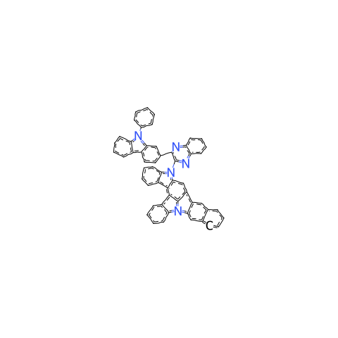 c1ccc(-n2c3ccccc3c3ccc(-c4nc5ccccc5nc4-n4c5ccccc5c5c6c7ccccc7n7c8cc9ccccc9cc8c(cc54)c67)cc32)cc1